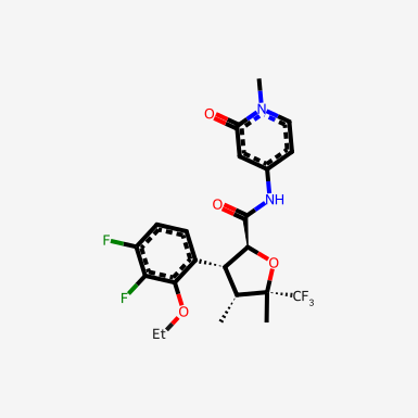 CCOc1c([C@@H]2[C@@H](C(=O)Nc3ccn(C)c(=O)c3)O[C@](C)(C(F)(F)F)[C@@H]2C)ccc(F)c1F